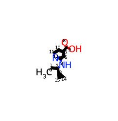 CC=C(Nc1cc(C(=O)O)ccn1)C1CC1